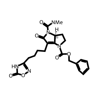 CNC(=O)N1C(=O)C(CCCCc2noc(=O)[nH]2)=C2[C@@H]1CCN2C(=O)OCc1ccccc1